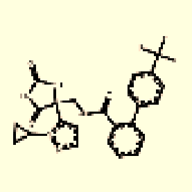 O=C1NC(=O)[C@@](CNC(=O)c2ccccc2-c2ccc(C(F)(F)F)cc2)(c2ccnn2C2CC2)N1